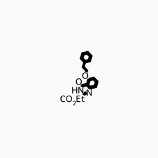 CCOC(=O)c1nc2cccc(OCCc3ccccc3)c2c(=O)[nH]1